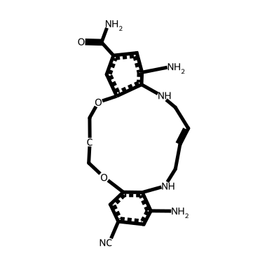 N#Cc1cc(N)c2c(c1)OCCCOc1cc(C(N)=O)cc(N)c1NC/C=C/CN2